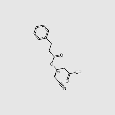 N#CC[C@H](CC(=O)O)OC(=O)CCc1ccccc1